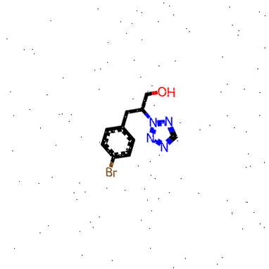 OCC(Cc1ccc(Br)cc1)n1ncnn1